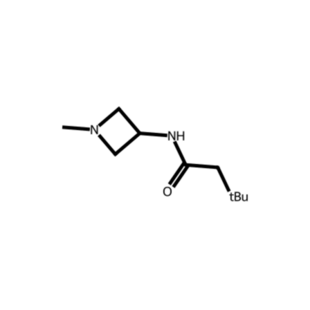 CN1CC(NC(=O)CC(C)(C)C)C1